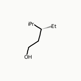 CC[C@H](CCO)C(C)C